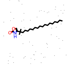 CCCCCCCCCCCCCCCCCC(C)(C)c1coc(=O)[nH]1